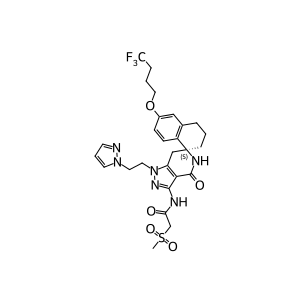 CS(=O)(=O)CC(=O)Nc1nn(CCn2cccn2)c2c1C(=O)N[C@@]1(CCCc3cc(OCCCC(F)(F)F)ccc31)C2